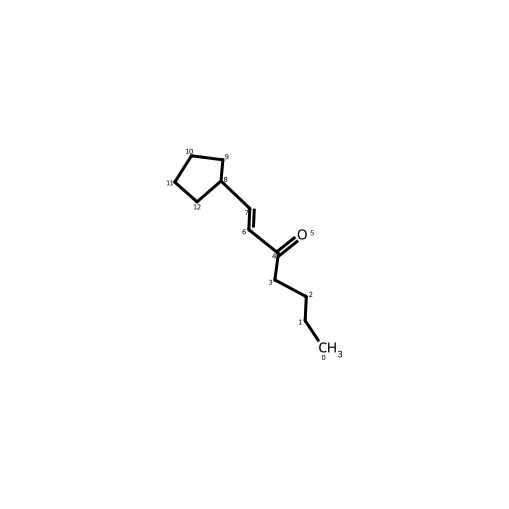 CCCCC(=O)/C=C/C1CCCC1